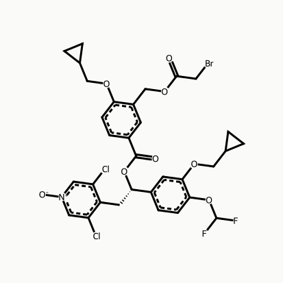 O=C(CBr)OCc1cc(C(=O)O[C@@H](Cc2c(Cl)c[n+]([O-])cc2Cl)c2ccc(OC(F)F)c(OCC3CC3)c2)ccc1OCC1CC1